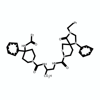 CCC(=O)NC1(c2ccccc2)CCN(C(=O)NC(CNC(=O)N2CCC3(CC2)C(=O)N(CC(C)C)CN3c2ccccc2)C(=O)O)CC1